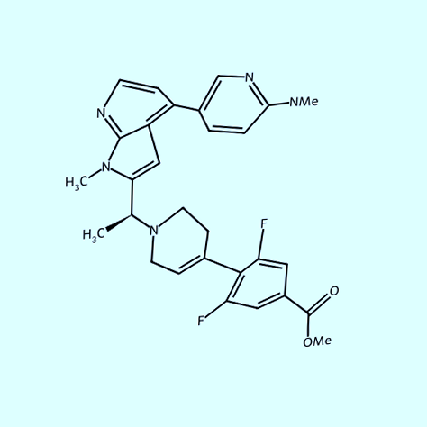 CNc1ccc(-c2ccnc3c2cc([C@H](C)N2CC=C(c4c(F)cc(C(=O)OC)cc4F)CC2)n3C)cn1